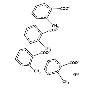 Cc1ccccc1C(=O)[O-].Cc1ccccc1C(=O)[O-].Cc1ccccc1C(=O)[O-].Cc1ccccc1C(=O)[O-].[Si+4]